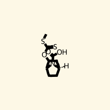 CSC(=S)OC1C[C@H]2CCC1N2C(=O)O